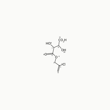 C=C(Cl)COC(=O)C(O)C(O)C(=O)O